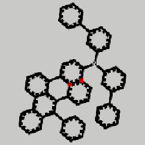 c1ccc(-c2cccc(N(c3ccc(-c4cccc5c4c(-c4ccccc4)c(-c4ccccc4)c4ccccc45)cc3)c3cccc(-c4ccccc4)c3)c2)cc1